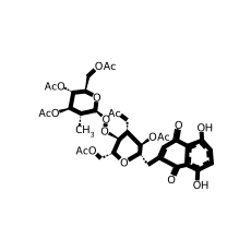 CC(=O)C[C@@H]1[C@@H](OC(C)=O)[C@H](CC2=CC(=O)c3c(O)ccc(O)c3C2=O)O[C@H](COC(C)=O)[C@H]1OO[C@@H]1O[C@H](COC(C)=O)[C@@H](OC(C)=O)[C@H](OC(C)=O)[C@H]1C